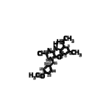 CBc1cc(C)cnc1Nc1nc(Cl)cn(Cc2ccc(OC)cc2)c1=O